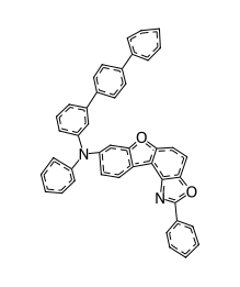 c1ccc(-c2ccc(-c3cccc(N(c4ccccc4)c4ccc5c(c4)oc4ccc6oc(-c7ccccc7)nc6c45)c3)cc2)cc1